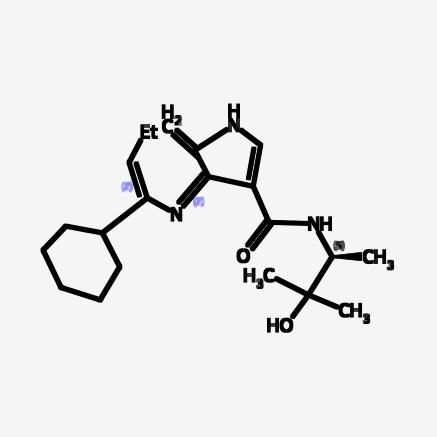 C=C1NC=C(C(=O)N[C@@H](C)C(C)(C)O)/C1=N/C(=C\CC)C1CCCCC1